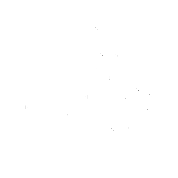 N#Cc1cccc(-c2nc(N)n3nc(Cn4nnc(-n5cccn5)n4)nc3c2-c2ccncn2)c1